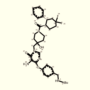 CC(C)(C)NCc1ccc(Oc2ncn(CC3(O)CCN(C(=O)[C@@H]4CCC(F)(F)C[C@H]4c4ccccc4)CC3)c(=O)c2N)cc1